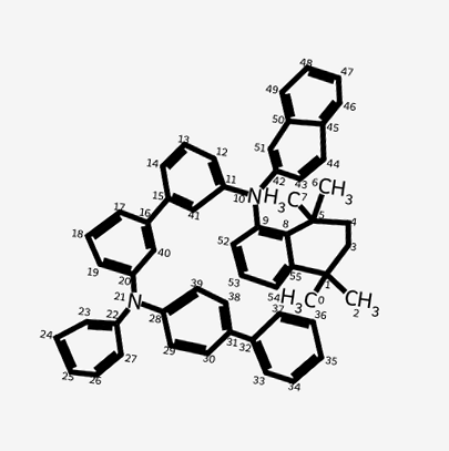 CC1(C)CCC(C)(C)c2c(N(c3cccc(-c4cccc(N(c5ccccc5)c5ccc(-c6ccccc6)cc5)c4)c3)c3ccc4ccccc4c3)cccc21